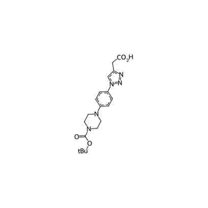 CC(C)(C)OC(=O)N1CCN(c2ccc(-n3cc(CC(=O)O)nn3)cc2)CC1